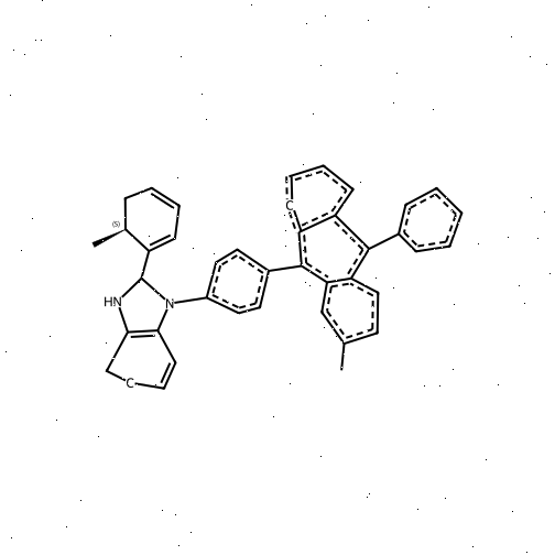 Cc1ccc2c(-c3ccccc3)c3ccccc3c(-c3ccc(N4C5=C(CCC=C5)NC4C4=CC=CC[C@@H]4C)cc3)c2c1